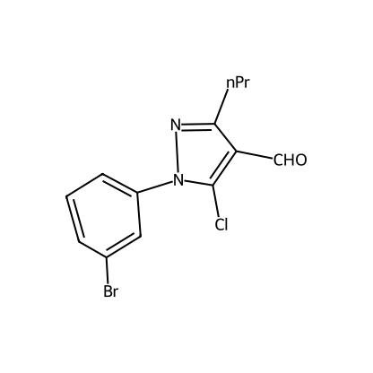 CCCc1nn(-c2cccc(Br)c2)c(Cl)c1C=O